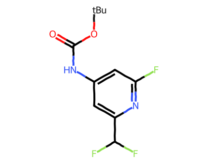 CC(C)(C)OC(=O)Nc1cc(F)nc(C(F)F)c1